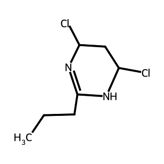 CCCC1=NC(Cl)CC(Cl)N1